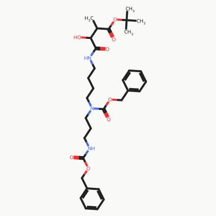 CC(C(=O)OC(C)(C)C)C(O)C(=O)NCCCCN(CCCNC(=O)OCc1ccccc1)C(=O)OCc1ccccc1